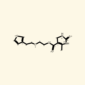 CC1=C(C(=O)OCCOCCc2ccsc2)CNC(=S)N1